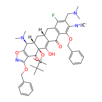 [C-]#[N+]c1c(CN(C)C)c(F)c2c(c1OCc1ccccc1)C(=O)C1=C(O)[C@]3(O[Si](C)(C)C(C)(C)C)C(=O)c4c(OCc5ccccc5)noc4[C@@H](N(C)C)[C@@H]3C[C@@H]1C2